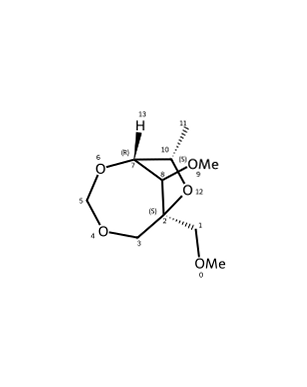 COC[C@]12COCO[C@@H](C1OC)[C@H](C)O2